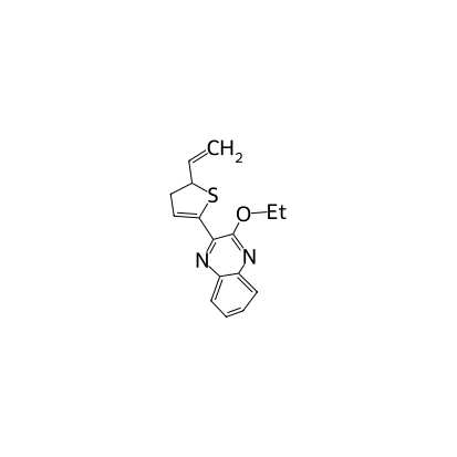 C=CC1CC=C(c2nc3ccccc3nc2OCC)S1